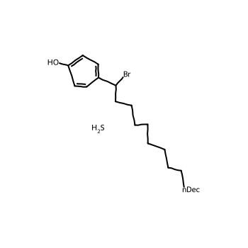 CCCCCCCCCCCCCCCCCCC(Br)c1ccc(O)cc1.S